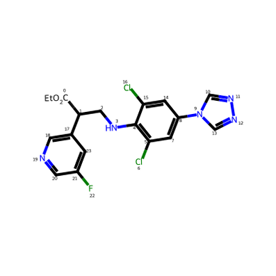 CCOC(=O)C(CNc1c(Cl)cc(-n2cnnc2)cc1Cl)c1cncc(F)c1